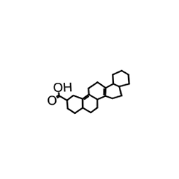 O=C(O)C1CCC2CCC3C(=C2C1)CCC1=C3CCC2CCCCC12